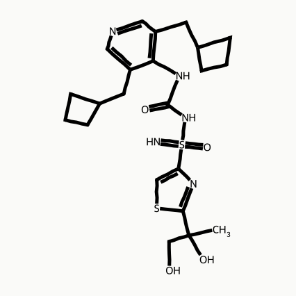 CC(O)(CO)c1nc(S(=N)(=O)NC(=O)Nc2c(CC3CCC3)cncc2CC2CCC2)cs1